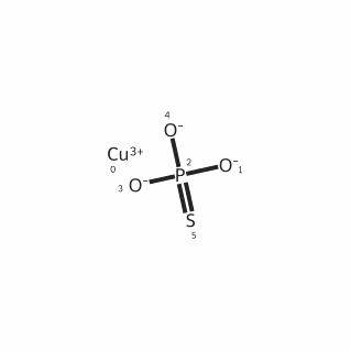 [Cu+3].[O-]P([O-])([O-])=S